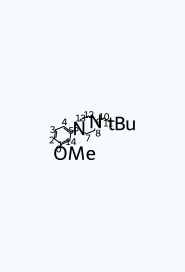 COc1cccc(N2CCN(CC(C)(C)C)CC2)c1